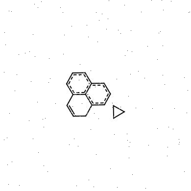 C1=Cc2cccc3cccc(c23)C1.C1CC1